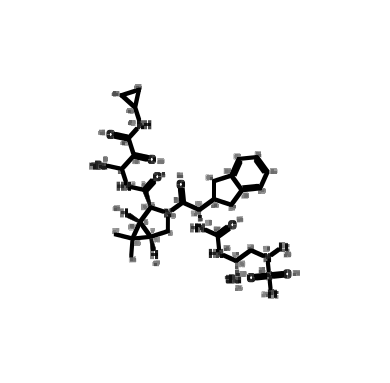 CCCCC(NC(=O)[C@@H]1[C@@H]2[C@H](CN1C(=O)[C@@H](NC(=O)N[C@H](CN(CC)S(=O)(=O)CC)C(C)(C)C)C1Cc3ccccc3C1)C2(C)C)C(=O)C(=O)NC1CC1